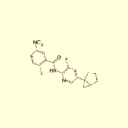 O=C(Nc1ncc(C23CCCC2C3)cc1F)c1cc([N+](=O)[O-])ccc1I